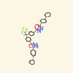 CC(c1ccc(-c2nnc(-c3ccc(-c4ccccc4)cc3)o2)cc1)(c1ccc(-c2nnc(-c3ccc(-c4ccccc4)cc3)o2)cc1)C(F)(F)F